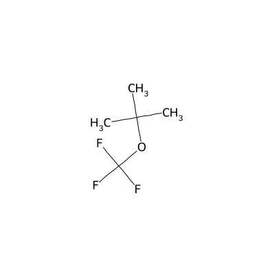 CC(C)(C)OC(F)(F)F